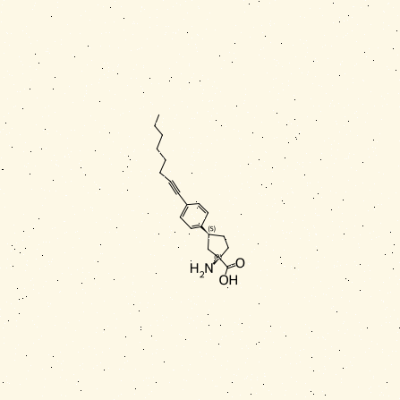 CCCCCCC#Cc1ccc([C@H]2CC[C@](N)(C(=O)O)C2)cc1